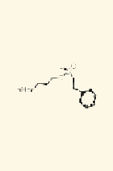 CCCCCCCCCCCCOS(=O)(=O)CCc1ccccc1